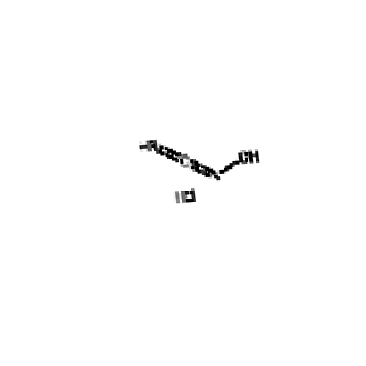 Cl.N=C=NO